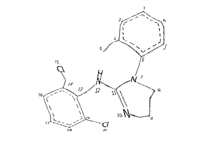 Cc1ccccc1N1CCN=C1Nc1c(Cl)cccc1Cl